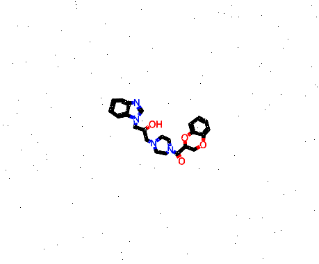 O=C(C1COc2ccccc2O1)N1CCN(CC(O)Cn2cnc3ccccc32)CC1